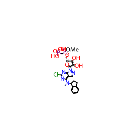 COP(=O)(CP(=O)(O)O)OC[C@H]1O[C@@H](n2ncc3c(N(C)C4CCc5ccccc54)nc(Cl)nc32)[C@H](O)[C@@H]1O